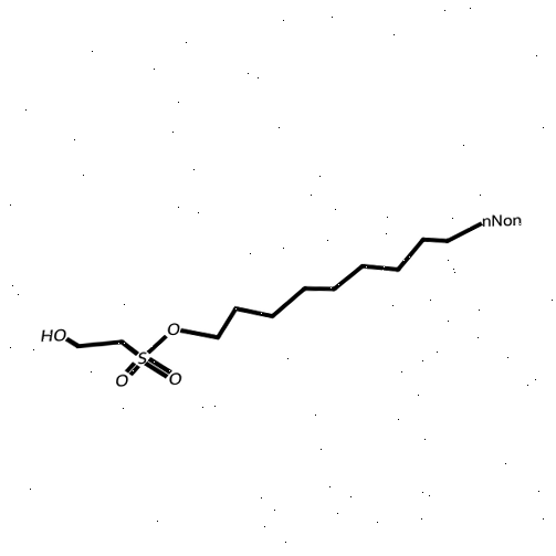 CCCCCCCCCCCCCCCCCCOS(=O)(=O)CCO